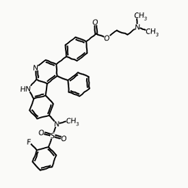 CN(C)CCOC(=O)c1ccc(-c2cnc3[nH]c4ccc(N(C)S(=O)(=O)c5ccccc5F)cc4c3c2-c2ccccc2)cc1